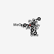 COCOc1ccc(C[C@H](N)[C@@H](O)[C@H](O)[C@H](Cc2ccc(OCOC)cc2)N(C(=O)[C@@H](NC(=O)OCc2ccccc2)C(C)C)C(=O)[C@@H](NC(=O)OCc2ccccc2)C(C)C)cc1